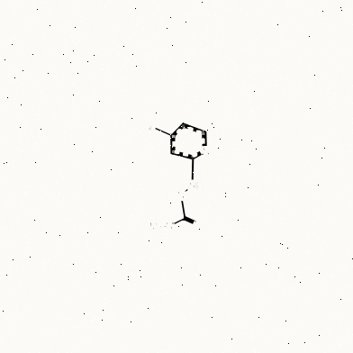 CNC(=S)NNc1cc(Br)ccn1